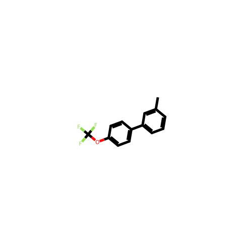 Cc1cccc(-c2ccc(OC(F)(F)F)cc2)c1